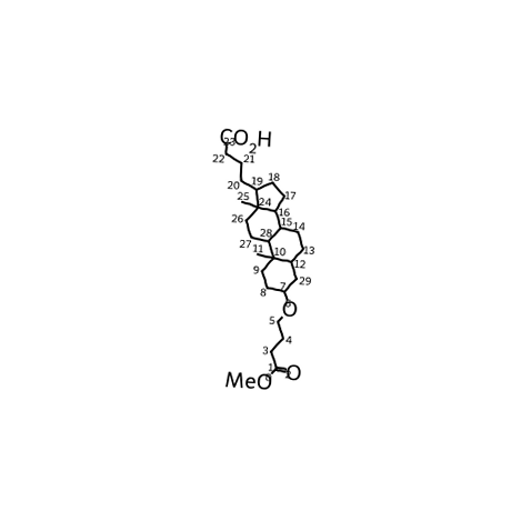 COC(=O)CCCOC1CCC2(C)C(CCC3C4CCC(CCCC(=O)O)C4(C)CCC32)C1